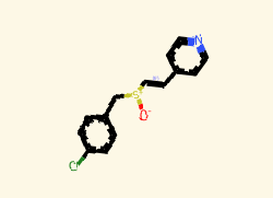 [O-][S+](/C=C/c1ccncc1)Cc1ccc(Cl)cc1